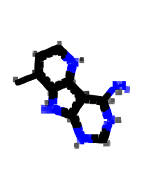 Cc1ccnc2c1[nH]c1ncnc(N)c12